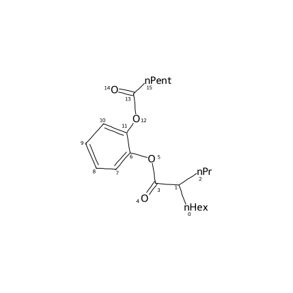 CCCCCCC(CCC)C(=O)Oc1ccccc1OC(=O)CCCCC